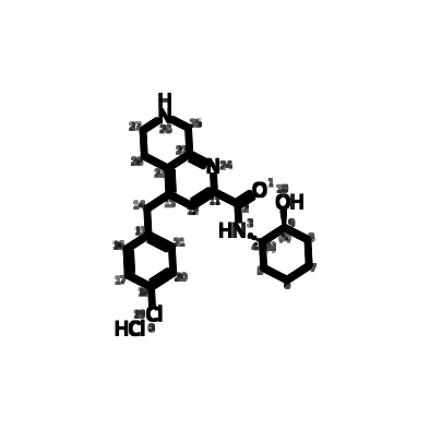 Cl.O=C(N[C@H]1CCCC[C@@H]1O)c1cc(Cc2ccc(Cl)cc2)c2c(n1)CNCC2